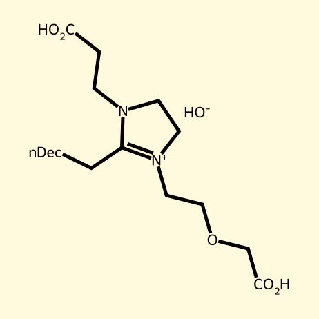 CCCCCCCCCCCC1=[N+](CCOCC(=O)O)CCN1CCC(=O)O.[OH-]